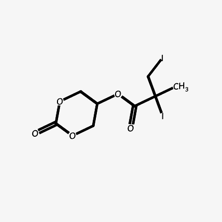 CC(I)(CI)C(=O)OC1COC(=O)OC1